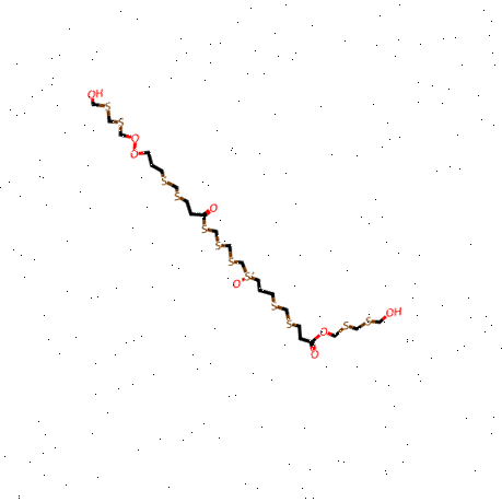 O=C(CCSCSCCC[S+]([O-])CSCSCSC(=O)CCSCSCCCOOCSCSCO)OCSCSCO